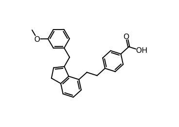 COc1cccc(CC2=CCc3cccc(CCc4ccc(C(=O)O)cc4)c32)c1